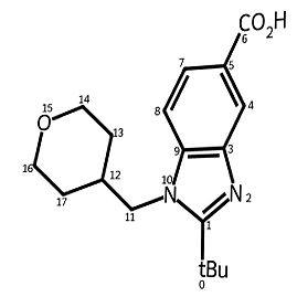 CC(C)(C)c1nc2cc(C(=O)O)ccc2n1CC1CCOCC1